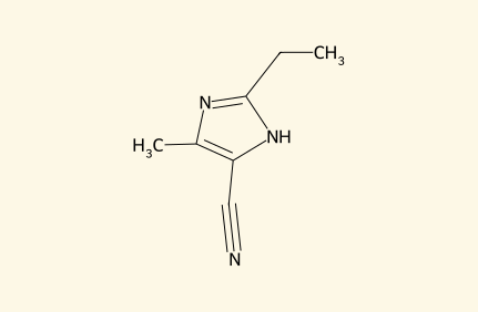 CCc1nc(C)c(C#N)[nH]1